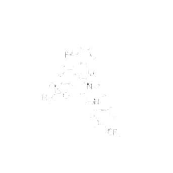 CS(=O)(=O)c1ccc(-c2ccccc2F)c(C(=O)N2CCN(c3ccc(C(F)(F)F)cc3)CC2)c1